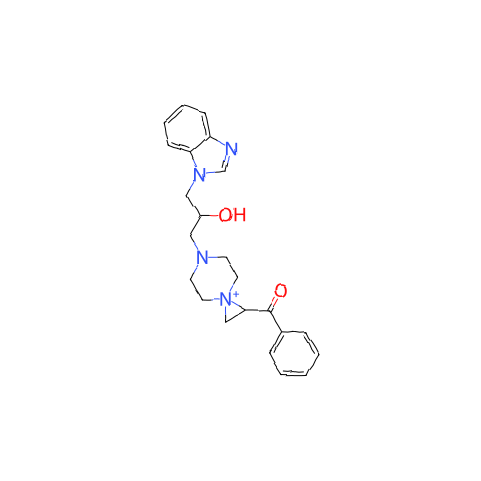 O=C(c1ccccc1)C1C[N+]12CCN(CC(O)Cn1cnc3ccccc31)CC2